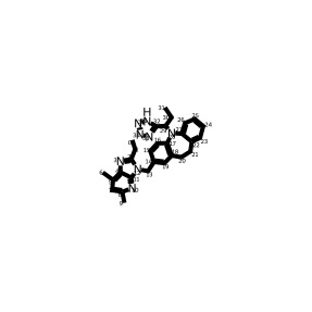 CCc1nc2c(C)cc(C)nc2n1Cc1ccc2c(c1)CCc1ccccc1N2C(CC)c1nnn[nH]1